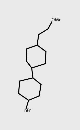 CCCC1CCC(C2CCC(CCOC)CC2)CC1